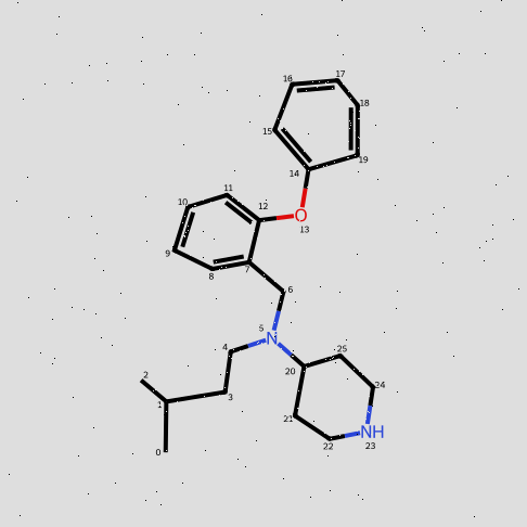 CC(C)CCN(Cc1ccccc1Oc1ccccc1)C1CCNCC1